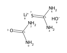 NC(N)=O.NC(N)=S.[Li+].[OH-]